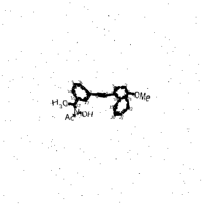 COc1ccc(C#Cc2cccc(C(C)N(O)C(C)=O)c2)c2ccccc12